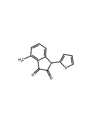 Cc1cccc2c1C(=O)C(=O)N2c1cccs1